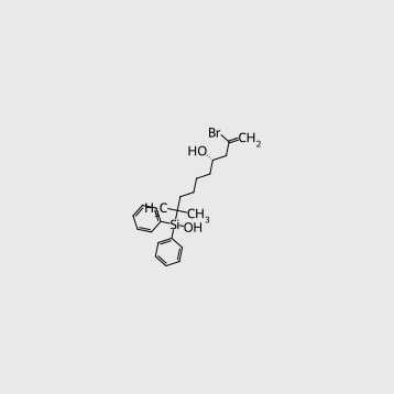 C=C(Br)C[C@@H](O)CCCCC(C)(C)[Si](O)(c1ccccc1)c1ccccc1